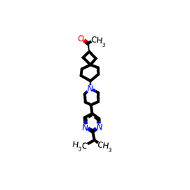 CC(=O)[C@H]1CC2(CC[C@H](N3CCC(c4cnc(C(C)C)nc4)CC3)CC2)C1